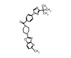 Cc1ccc2oc(N3CCN(C(=O)c4ccc(-n5cnc(C(C)(C)C)n5)cc4)CC3)nc2n1